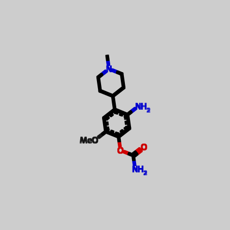 COc1cc(C2CCN(C)CC2)c(N)cc1OC(N)=O